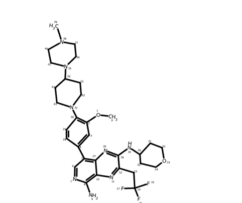 COc1cc(-c2cnc(N)c3nc(CC(F)(F)F)c(NC4CCOCC4)nc23)ccc1N1CCC(N2CCN(C)CC2)CC1